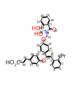 CC(C)c1ccccc1-c1sc2cc(OCN3C(=O)c4ccccc4S3(O)O)ccc2c1Oc1ccc(/C=C/C(=O)O)cc1